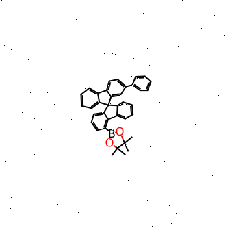 CC1(C)OB(c2cccc3c2-c2ccccc2C32c3ccccc3-c3ccc(-c4ccccc4)cc32)OC1(C)C